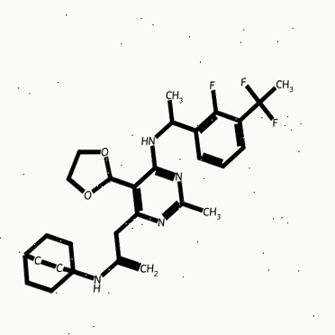 C=C(Cc1nc(C)nc(NC(C)c2cccc(C(C)(F)F)c2F)c1C1OCCO1)NC12CCC(CC1)CC2